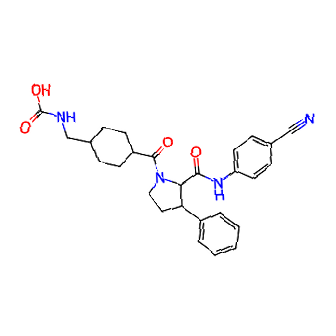 N#Cc1ccc(NC(=O)C2C(c3ccccc3)CCN2C(=O)C2CCC(CNC(=O)O)CC2)cc1